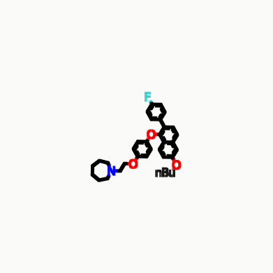 CCCCOc1ccc2c(Oc3ccc(OCCN4CCCCCC4)cc3)c(-c3ccc(F)cc3)ccc2c1